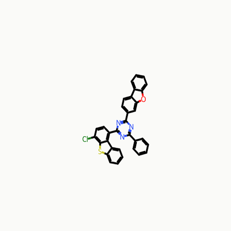 Clc1ccc(-c2nc(-c3ccccc3)nc(-c3ccc4c(c3)oc3ccccc34)n2)c2c1sc1ccccc12